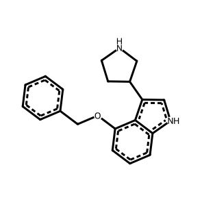 c1ccc(COc2cccc3[nH]cc(C4CCNC4)c23)cc1